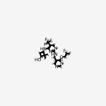 CC1(C)[C@@H](O)C[C@H]1Nc1nc(NCc2cncnc2OCC(F)F)ncc1C(F)(F)F